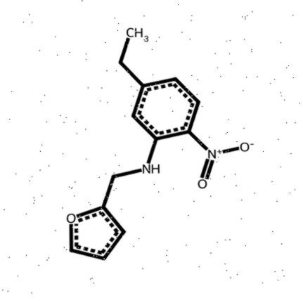 CCc1ccc([N+](=O)[O-])c(NCc2ccco2)c1